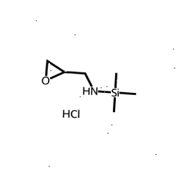 C[Si](C)(C)NCC1CO1.Cl